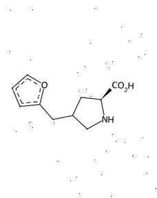 O=C(O)[C@@H]1CC(Cc2ccco2)CN1